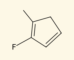 CC1=C(F)C=CC1